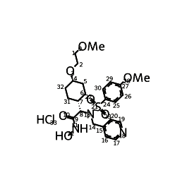 COCCO[C@H]1CC[C@H](C(C(=O)NO)N(Cc2ccncc2)S(=O)(=O)c2ccc(OC)cc2)CC1.Cl